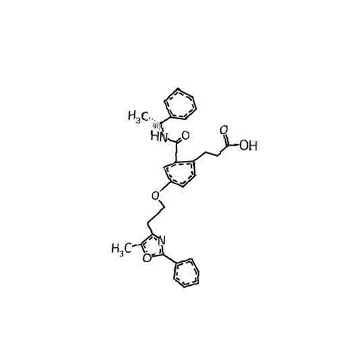 Cc1oc(-c2ccccc2)nc1CCOc1ccc(CCC(=O)O)c(C(=O)N[C@H](C)c2ccccc2)c1